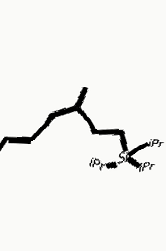 C/C=C/CC(C)CC[Si](C(C)C)(C(C)C)C(C)C